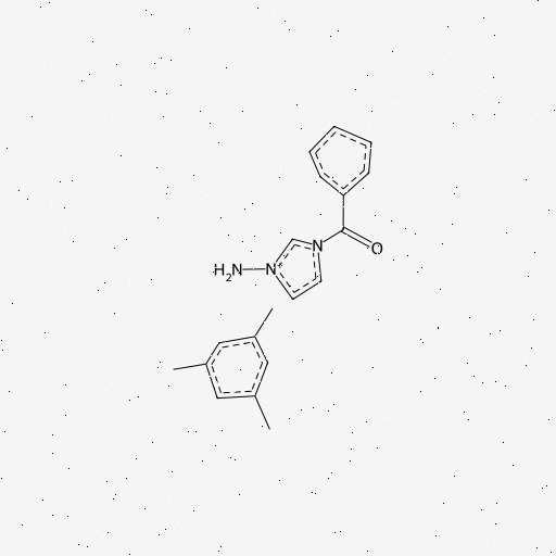 Cc1cc(C)cc(C)c1.N[n+]1ccn(C(=O)c2ccccc2)c1